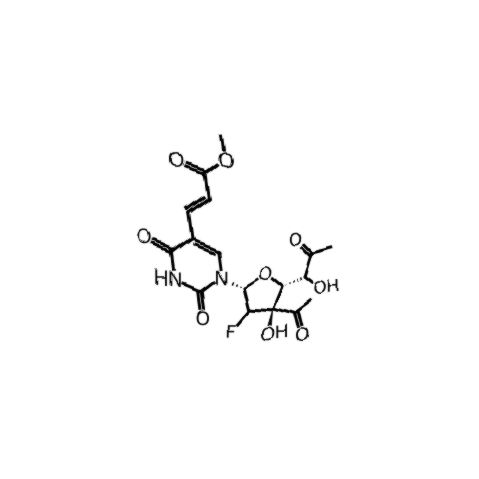 COC(=O)/C=C/c1cn([C@@H]2O[C@H](C(O)C(C)=O)[C@](O)(C(C)=O)C2F)c(=O)[nH]c1=O